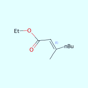 CCCC/C(C)=C/C(=O)OCC